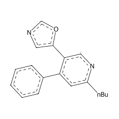 CCCCc1cc(-c2ccccc2)c(-c2cnco2)[c]n1